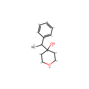 N#CC(c1ccccc1)C1(O)CCOCC1